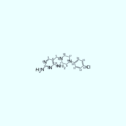 Nc1ncc(CN2CCN(c3ccc(Cl)cc3)CC2)c(N)n1